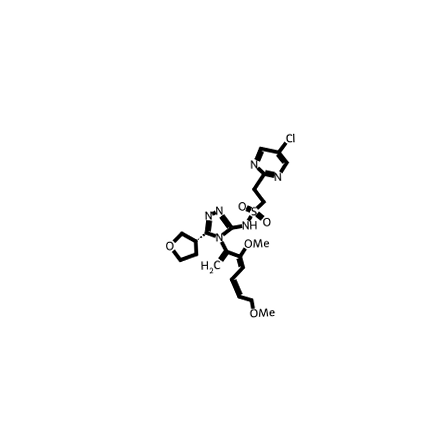 C=C(/C(=C\C=C/COC)OC)n1c(NS(=O)(=O)CCc2ncc(Cl)cn2)nnc1[C@@H]1CCOC1